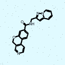 O=C(NCc1cc2ccccn2n1)c1ccc2c(c1)OCc1cnccc1-2